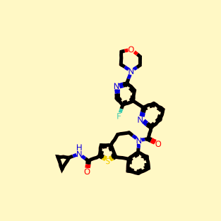 O=C(NC1CC1)c1cc2c(s1)-c1ccccc1N(C(=O)c1cccc(-c3cc(N4CCOCC4)ncc3F)n1)CC2